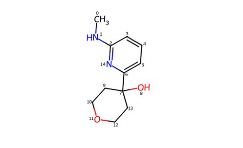 CNc1cccc(C2(O)CCOCC2)n1